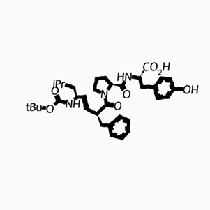 CC(C)C[C@@H](/C=C/[C@H](Cc1ccccc1)C(=O)N1CCC[C@H]1C(=O)N[C@@H](Cc1ccc(O)cc1)C(=O)O)NC(=O)OC(C)(C)C